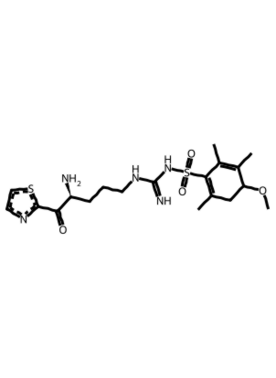 COC1CC(C)=C(S(=O)(=O)NC(=N)NCCC[C@H](N)C(=O)c2nccs2)C(C)=C1C